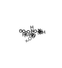 COc1ccc(-c2ccc(C(Nc3ccc(-c4nn[nH]n4)cc3)[C@@H](C=O)NC(=O)C3CCC(CC(C)(C)C)CC3)cc2)c(C(F)(F)F)c1